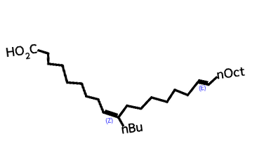 CCCCCCCC/C=C/CCCCCC/C(=C\CCCCCCCC(=O)O)CCCC